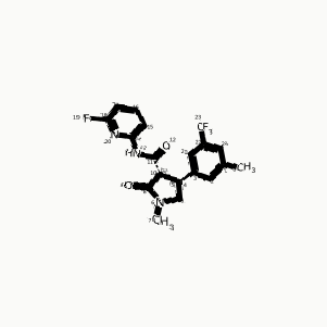 Cc1cc([C@H]2CN(C)C(=O)[C@@H]2C(=O)Nc2cccc(F)n2)cc(C(F)(F)F)c1